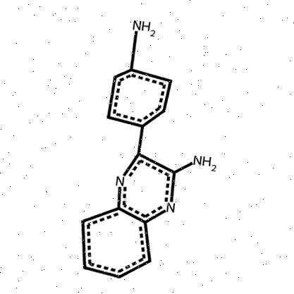 Nc1ccc(-c2nc3ccccc3nc2N)cc1